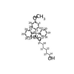 COc1ccc(C(NOCCCCCCO)(c2ccccc2)c2ccccc2)cc1